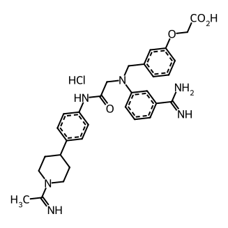 CC(=N)N1CCC(c2ccc(NC(=O)CN(Cc3cccc(OCC(=O)O)c3)c3cccc(C(=N)N)c3)cc2)CC1.Cl